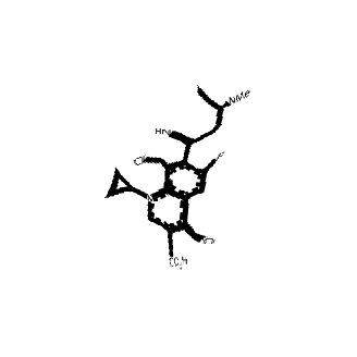 CN[C@H](C)CC(=N)c1c(F)cc2c(=O)c(C(=O)O)cn(C3CC3)c2c1Cl